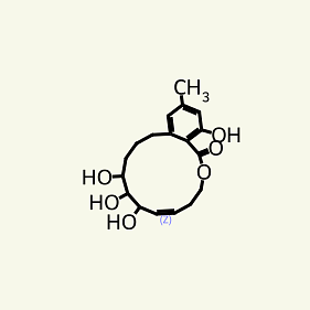 Cc1cc(O)c2c(c1)CCCC(O)C(O)C(O)/C=C\CCOC2=O